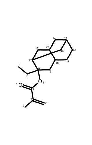 C=C(C)C(=O)OC1(CC)CC2CCC3CC2CC1C3